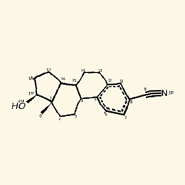 C[C@]12CCC3c4ccc(C#N)cc4CCC3C1CC[C@@H]2O